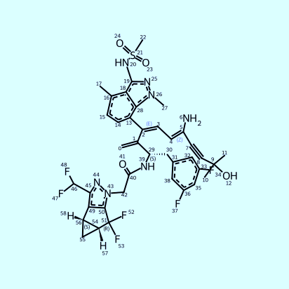 C=C(/C(=C\C=C(/N)C#CC(C)(C)O)c1ccc(C)c2c(NS(C)(=O)=O)nn(C)c12)[C@H](Cc1cc(F)cc(F)c1)NC(=O)Cn1nc(C(F)F)c2c1C(F)(F)[C@@H]1C[C@H]21